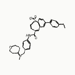 CCc1ccc(-c2ccc3c(c2)C=C(C(=O)Nc2ccc(CN(C)C4CCOCC4)cc2)CCS3(=O)=O)cc1